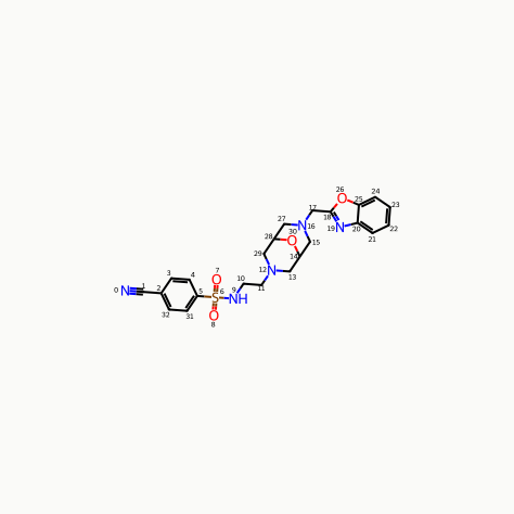 N#Cc1ccc(S(=O)(=O)NCCN2CC3CN(Cc4nc5ccccc5o4)CC(C2)O3)cc1